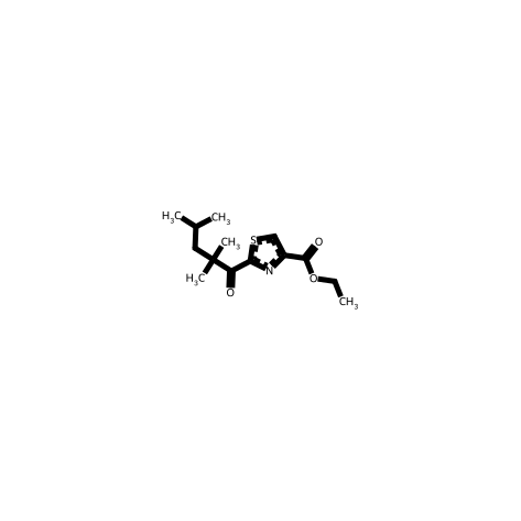 CCOC(=O)c1csc(C(=O)C(C)(C)CC(C)C)n1